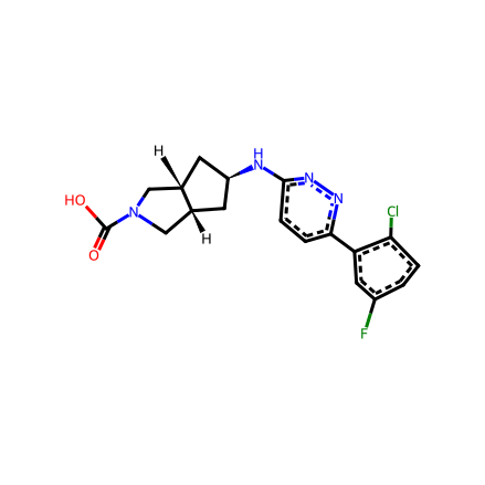 O=C(O)N1C[C@H]2C[C@H](Nc3ccc(-c4cc(F)ccc4Cl)nn3)C[C@H]2C1